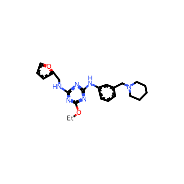 CCOc1nc(NCc2ccco2)nc(Nc2cccc(CN3CCCCC3)c2)n1